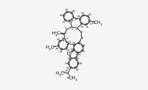 C=C1CC2C(CCc3ccc4c(oc5cc(C(C)C)ccc54)c3-c3ccc(C)c[n+]31)c1cc(C)ccc1-c1cccc[n+]12